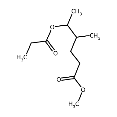 CCC(=O)OC(C)C(C)CCC(=O)OC